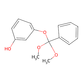 COC(OC)(Oc1cccc(O)c1)c1ccccc1